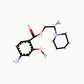 CCOc1cc(N)ccc1C(=O)OC[C@H](C(C)CC)N1CCCCC1